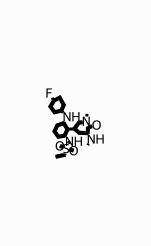 C=CS(=O)(=O)Nc1cccc(Nc2ccc(F)cc2)c1-c1cc(NC)c(=O)n(C)c1